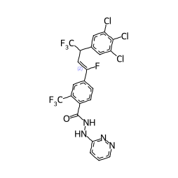 O=C(NNc1cccnn1)c1ccc(/C(F)=C/C(c2cc(Cl)c(Cl)c(Cl)c2)C(F)(F)F)cc1C(F)(F)F